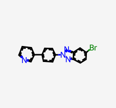 Brc1ccc2nn(-c3ccc(-c4cccnc4)cc3)nc2c1